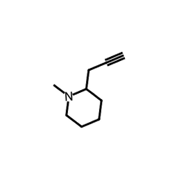 C#CCC1CCCCN1C